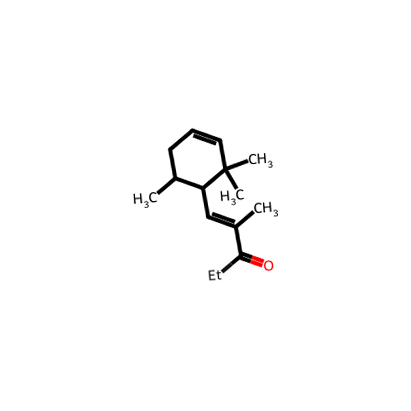 CCC(=O)/C(C)=C/C1C(C)CC=CC1(C)C